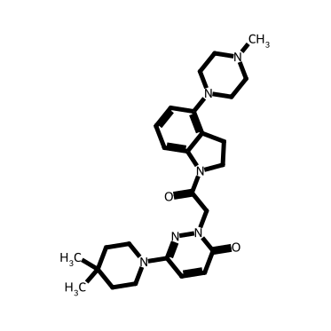 CN1CCN(c2cccc3c2CCN3C(=O)Cn2nc(N3CCC(C)(C)CC3)ccc2=O)CC1